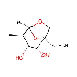 C[C@H]1[C@H]2OC[C@](CC#N)(O2)[C@H](O)[C@@H]1O